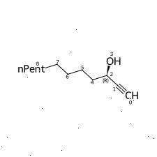 C#C[C@H](O)CCCCCCCCC